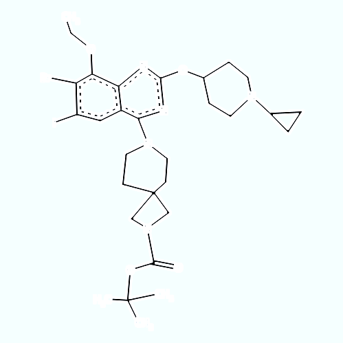 CCOc1c(Br)c(I)cc2c(N3CCC4(CC3)CN(C(=O)OC(C)(C)C)C4)nc(OC3CCN(C4CC4)CC3)nc12